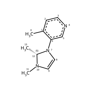 Cc1ccncc1N1C=CN(C)[C@@H]1C